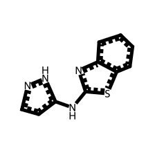 c1ccc2sc(Nc3ccn[nH]3)nc2c1